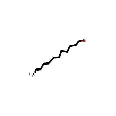 CC=CC=CCCCCCCCBr